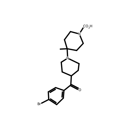 CC1(N2CCC(C(=O)c3ccc(Br)cc3)CC2)CCN(C(=O)O)CC1